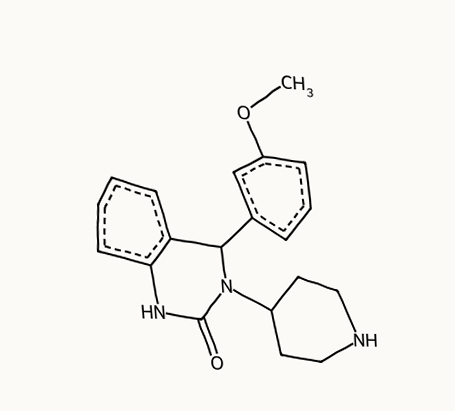 COc1cccc(C2c3ccccc3NC(=O)N2C2CCNCC2)c1